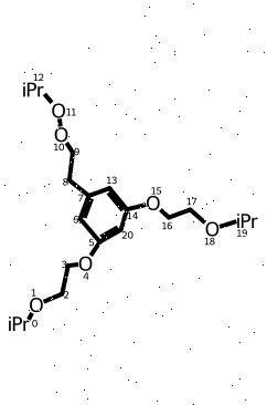 CC(C)OCCOc1cc(CCOOC(C)C)cc(OCCOC(C)C)c1